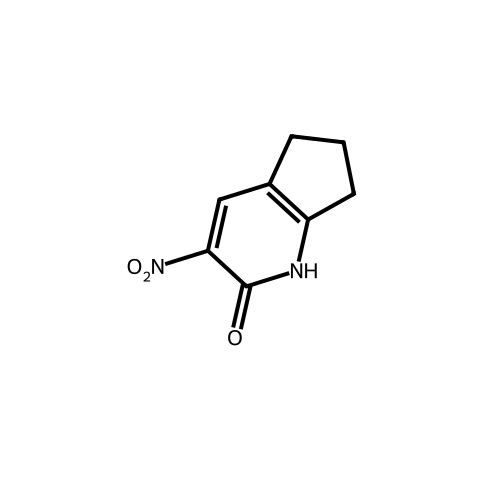 O=c1[nH]c2c(cc1[N+](=O)[O-])CCC2